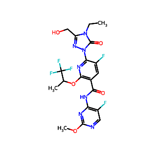 CCn1c(CO)nn(-c2nc(OC(C)C(F)(F)F)c(C(=O)Nc3nc(OC)ncc3F)cc2F)c1=O